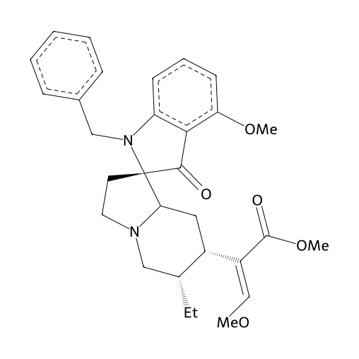 CC[C@@H]1CN2CC[C@@]3(C(=O)c4c(OC)cccc4N3Cc3ccccc3)C2C[C@@H]1/C(=C\OC)C(=O)OC